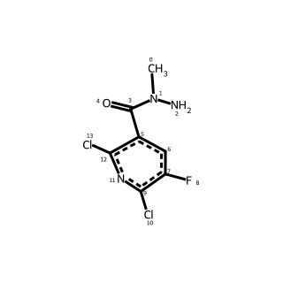 CN(N)C(=O)c1cc(F)c(Cl)nc1Cl